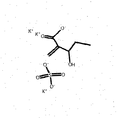 C=C(C(=O)[O-])C(O)CC.O=S(=O)([O-])[O-].[K+].[K+].[K+]